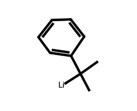 [Li][C](C)(C)c1ccccc1